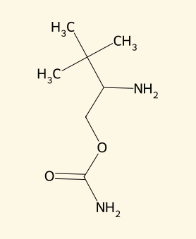 CC(C)(C)C(N)COC(N)=O